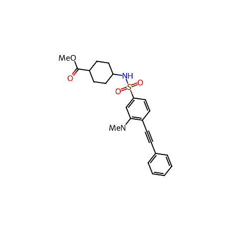 CNc1cc(S(=O)(=O)NC2CCC(C(=O)OC)CC2)ccc1C#Cc1ccccc1